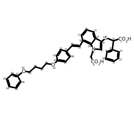 O=C(O)Cn1cc(SC(C(=O)O)c2ccccc2)c2cccc(C=Cc3ccc(OCCCCOc4ccccc4)cc3)c21